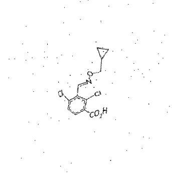 O=C(O)c1ccc(Cl)c(/C=N/OCC2CC2)c1Cl